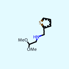 COC(CNCc1cccs1)OC